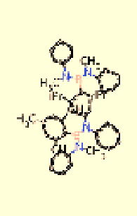 Cc1cc(C)c(B(N(C)c2ccccc2)N(c2ccccc2)c2cc(C(C)C)c(B(N(C)c3ccccc3)N(C)c3ccccc3)c(C(C)C)c2)c(C)c1